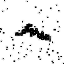 CCCCc1cc(NC(=O)Nc2ccc(Oc3ccnc(NC(=O)N(C)C)c3)c(Cl)c2Cl)n(-c2ccc(OC)cc2)n1